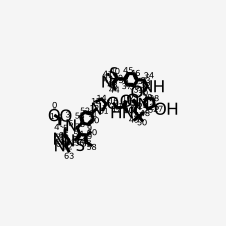 COC(=O)C[C@@H]1N=C(c2ccc(N3CC[C@@H](OCC(=O)N[C@H](C(=O)N4C[C@H](O)C[C@H]4C(=O)N[C@@H](C)c4ccc(-c5scnc5C)cc4)C(C)(C)C)C3)cc2)c2c(sc(C)c2C)-n2c(C)nnc21